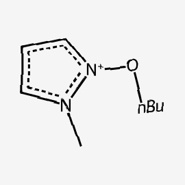 CCCCO[n+]1cccn1C